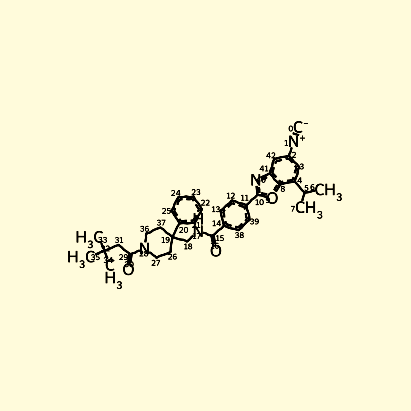 [C-]#[N+]c1cc(C(C)C)c2oc(-c3ccc(C(=O)NCC4(c5ccccc5)CCN(C(=O)CC(C)(C)C)CC4)cc3)nc2c1